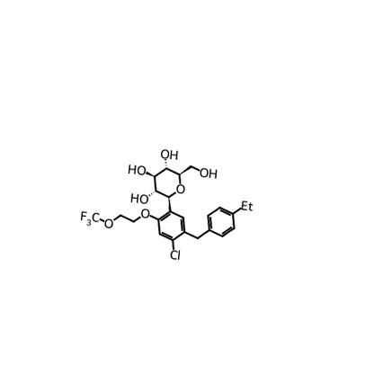 CCc1ccc(Cc2cc([C@@H]3O[C@H](CO)[C@@H](O)[C@H](O)[C@H]3O)c(OCCOC(F)(F)F)cc2Cl)cc1